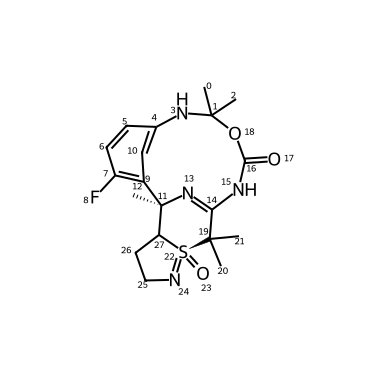 CC1(C)Nc2ccc(F)c(c2)[C@@]2(C)N=C(NC(=O)O1)C(C)(C)[S@@]1(=O)=NCCC21